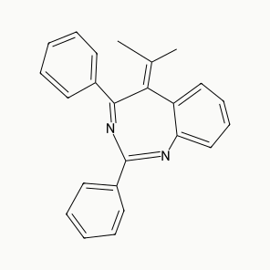 CC(C)=C1C(c2ccccc2)=NC(c2ccccc2)=Nc2ccccc21